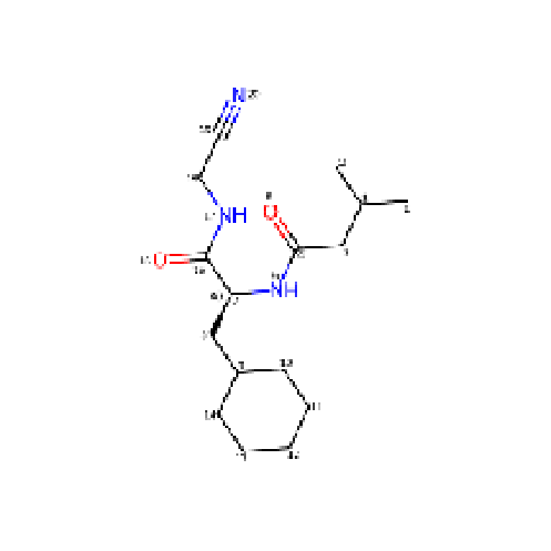 CC(C)CC(=O)N[C@@H](CC1CCCCC1)C(=O)NCC#N